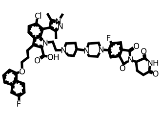 Cc1nn(C)c(C)c1-c1c(Cl)ccc2c(CCCOc3cccc4cc(F)ccc34)c(C(=O)O)n(CCN3CCC(N4CCN(c5cc6c(cc5F)C(=O)N(C5CCC(=O)NC5=O)C6=O)CC4)CC3)c12